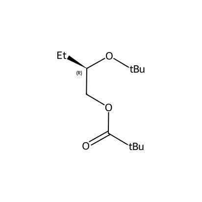 CC[C@H](COC(=O)C(C)(C)C)OC(C)(C)C